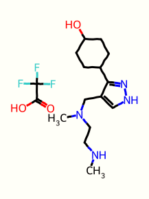 CNCCN(C)Cc1c[nH]nc1C1CCC(O)CC1.O=C(O)C(F)(F)F